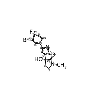 CN1CCC(O)(c2cc(-c3ccc(F)c(Br)c3)no2)C1=O